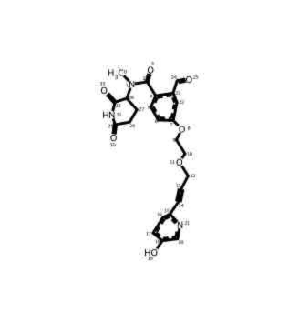 CN(C(=O)c1ccc(OCCOCC#Cc2ccc(O)cn2)cc1C=O)C1CCC(=O)NC1=O